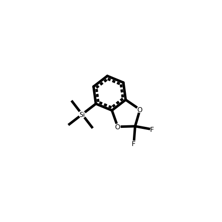 C[Si](C)(C)c1cccc2c1OC(F)(F)O2